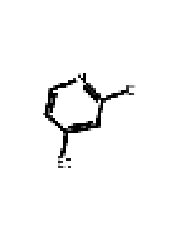 [CH2]Cc1ccnc(Cl)c1